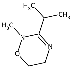 CC(C)C1=NCCON1C